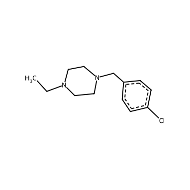 CCN1CCN(Cc2ccc(Cl)cc2)CC1